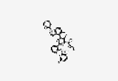 CCOC(=O)c1nc(-c2cccnc2Nc2nc(F)ccc2F)nc(-c2c(C)ccc3c2cnn3C2CCCCO2)c1F